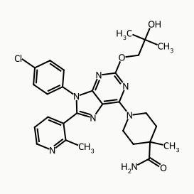 Cc1ncccc1-c1nc2c(N3CCC(C)(C(N)=O)CC3)nc(OCC(C)(C)O)nc2n1-c1ccc(Cl)cc1